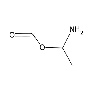 CC(N)O[C]=O